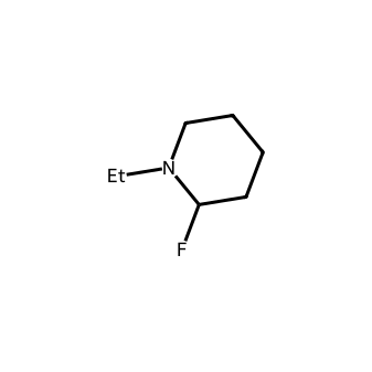 CCN1CCCCC1F